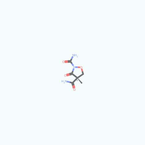 C[C@]1(C(N)=O)CON(C(N)=O)C1=O